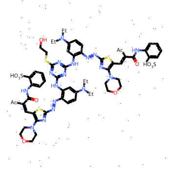 CCN(CC)c1ccc(/N=N/c2nc(N3CCOCC3)c(/C=C(/C(C)=O)C(=O)Nc3ccccc3S(=O)(=O)O)s2)c(Nc2nc(Nc3cc(N(CC)CC)ccc3/N=N/c3nc(N4CCOCC4)c(/C=C(\C(C)=O)C(=O)Nc4ccccc4S(=O)(=O)O)s3)nc(SCCO)n2)c1